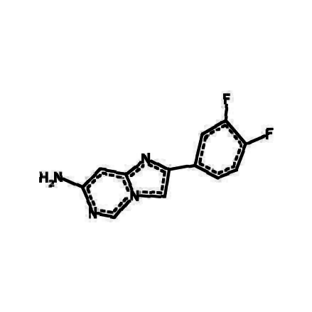 Nc1cc2nc(-c3ccc(F)c(F)c3)cn2cn1